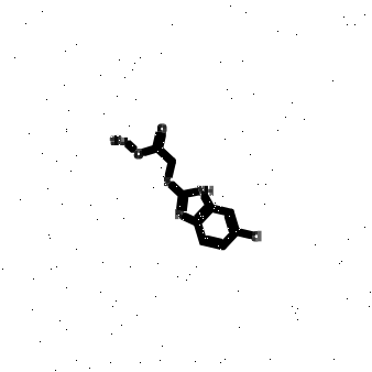 CC(C)(C)OC(=O)CSc1nc2ccc(Cl)cc2[nH]1